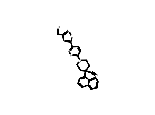 N#CC1(c2cccc3ccccc23)CCN(c2ccc(-c3nc(CO)no3)nn2)CC1